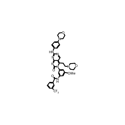 COc1cc(NC(=O)c2cccc(C(F)(F)F)c2)cc(-n2c(CCN3CCOCC3)c3cnc(Nc4ccc(N5CCOCC5)cc4)nc3nc2=O)c1